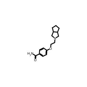 NC(=O)c1ccc(OCCN2CC3CCCC3C2)cc1